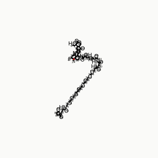 CC[C@@]1(O)C(=O)OCc2c1cc1n(c2=O)Cc2c-1nc1cc(F)c(C)c3c1c2[C@@H](NC(=O)[C@H](O)CCOCNC(=O)[C@H](C)NC(=O)[C@H](C)NC(=O)CCOCCOCCOCCOCCOCCOCCOCCOCCNC(=O)CCN1C(=O)C=CC1=O)CC3